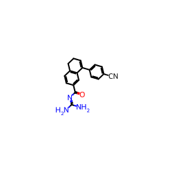 N#Cc1ccc(C2=CCCc3ccc(C(=O)N=C(N)N)cc32)cc1